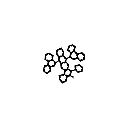 Ic1c(-c2ccccc2)c2cc3c(-c4cc5ccccc5c5ccccc45)c4ccccc4c(-c4cc5ccccc5c5ccccc45)c3cc2c2ccccc12